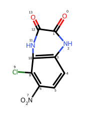 O=c1[nH]c2ccc([N+](=O)[O-])c(Cl)c2[nH]c1=O